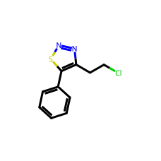 ClCCc1nnsc1-c1ccccc1